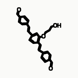 O=Cc1ccc(/C=C/c2ccc(/C=C/c3ccc(C=O)cc3)c(OCCCO)c2)cc1